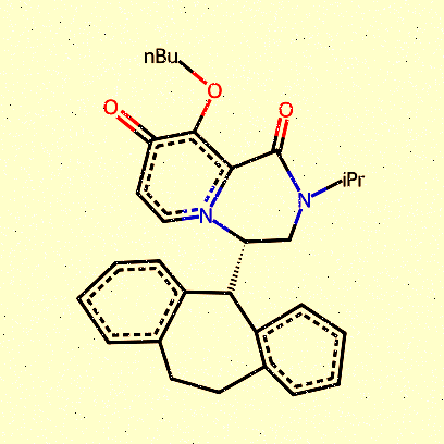 CCCCOc1c2n(ccc1=O)[C@@H](C1c3ccccc3CCc3ccccc31)CN(C(C)C)C2=O